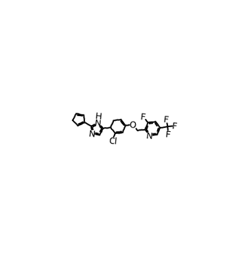 Fc1cc(C(F)(F)F)cnc1COC1=CCC(c2cnc(C3=CCC=C3)[nH]2)C(Cl)=C1